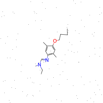 CCCCOc1cc(C)c(/N=C/N(C)CC)cc1C